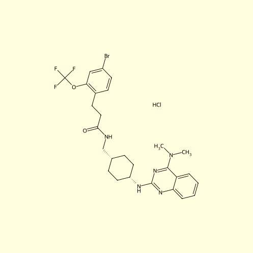 CN(C)c1nc(N[C@H]2CC[C@@H](CNC(=O)CCc3ccc(Br)cc3OC(F)(F)F)CC2)nc2ccccc12.Cl